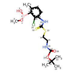 COB(O)c1c(C)ccc(NC(=S)SCCNC(=O)OC(C)(C)C)c1Cl